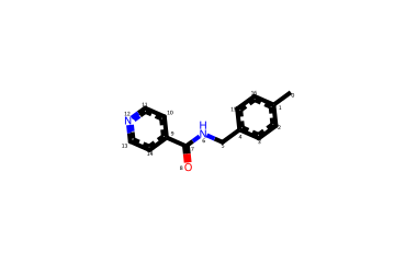 Cc1ccc(CNC(=O)c2ccncc2)cc1